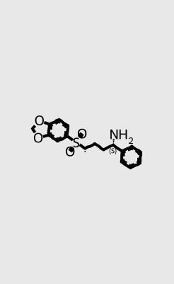 N[C@@H](CC[CH]S(=O)(=O)c1ccc2c(c1)OCO2)c1ccccc1